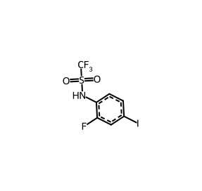 O=S(=O)(Nc1ccc(I)cc1F)C(F)(F)F